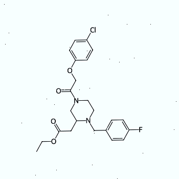 CCOC(=O)CC1CN(C(=O)COc2ccc(Cl)cc2)CCN1Cc1ccc(F)cc1